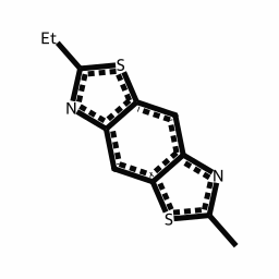 CCc1nc2cc3sc(C)nc3cc2s1